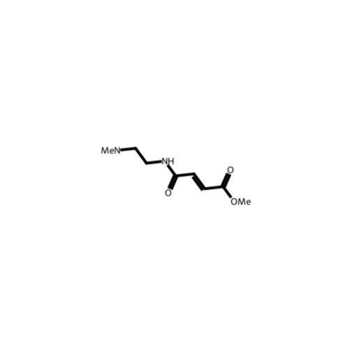 CNCCNC(=O)/C=C/C(=O)OC